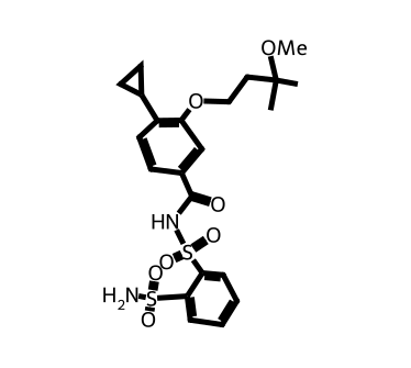 COC(C)(C)CCOc1cc(C(=O)NS(=O)(=O)c2ccccc2S(N)(=O)=O)ccc1C1CC1